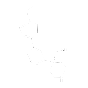 COc1ccc(-c2cccc(C3(CN)CCNCC3)c2)cc1